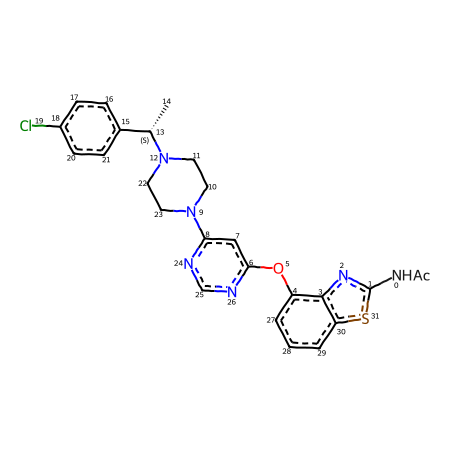 CC(=O)Nc1nc2c(Oc3cc(N4CCN([C@@H](C)c5ccc(Cl)cc5)CC4)ncn3)cccc2s1